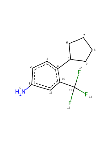 Nc1c[c]c(C2CCCC2)c(C(F)(F)F)c1